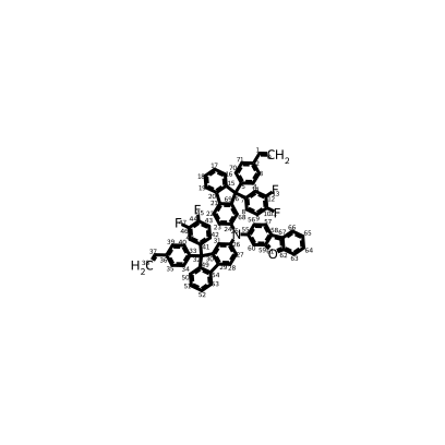 C=Cc1ccc(C2(c3ccc(F)c(F)c3)c3ccccc3-c3ccc(N(c4ccc5c(c4)C(c4ccc(C=C)cc4)(c4ccc(F)c(F)c4)c4ccccc4-5)c4ccc5c(c4)oc4ccccc45)cc32)cc1